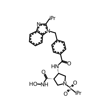 CC(C)c1nc2ccccc2n1Cc1ccc(C(=O)N[C@@H]2CN(S(=O)(=O)C(C)C)C[C@@H]2C(=O)NO)cc1